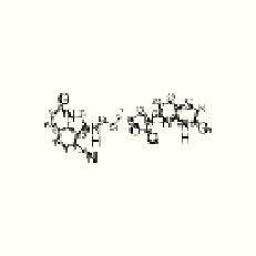 N#Cc1ccc2ccc(=O)n3c2c1[C@@H](NCCC[C@@H]1CN(c2ccc4c(n2)NC(=O)CS4)C(=O)O1)C3